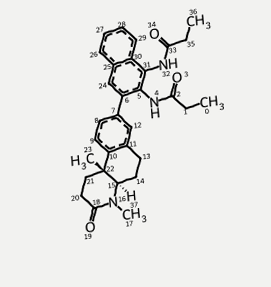 CCC(=O)Nc1c(-c2ccc3c(c2)CC[C@H]2N(C)C(=O)CC[C@]32C)cc2ccccc2c1NC(=O)CC